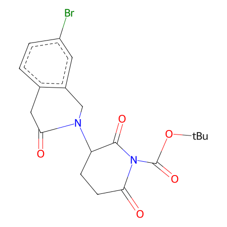 CC(C)(C)OC(=O)N1C(=O)CCC(N2Cc3cc(Br)ccc3CC2=O)C1=O